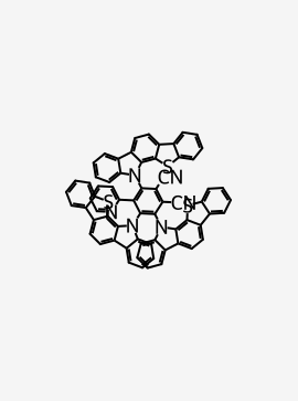 N#Cc1c(C#N)c(-n2c3ccccc3c3ccc4c5ccccc5sc4c32)c(-n2c3ccccc3c3ccc4c5ccccc5sc4c32)c(-c2ccccn2)c1-n1c2ccccc2c2ccc3c4ccccc4sc3c21